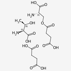 C[C@@H](O)[C@H](N)C(=O)O.N[C@@H](COC(=O)CCC(=O)O)C(=O)O.O=C(O)CCC(=O)O